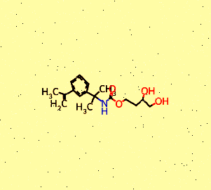 C=C(C)c1cccc(C(C)(C)NC(=O)OCCC(O)CO)c1